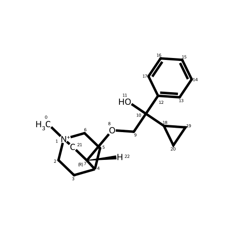 C[N+]12CCC(CC1)[C@@H](OCC(O)(c1ccccc1)C1CC1)C2